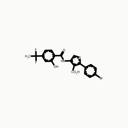 CC(F)(F)c1ccc(C(=O)Nc2csc(-c3ccc(Br)cc3)c2C(=O)O)c(O)c1